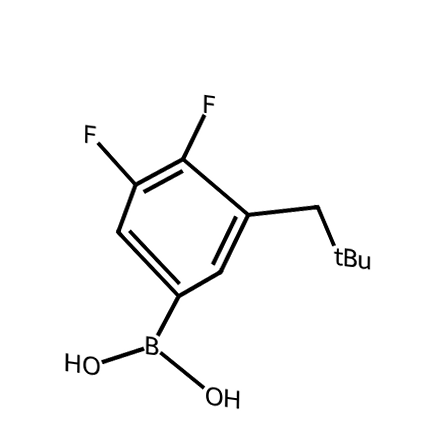 CC(C)(C)Cc1cc(B(O)O)cc(F)c1F